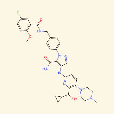 COc1ccc(F)cc1C(=O)NCc1ccc(-n2ncc(Nc3ccc(N4CCN(C)CC4)c(C(O)C4CC4)n3)c2C(N)=O)cc1